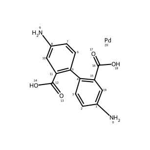 Nc1ccc(-c2ccc(N)cc2C(=O)O)c(C(=O)O)c1.[Pd]